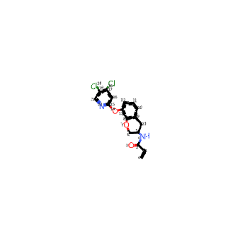 C=CC(=O)NC1COc2c(cccc2Oc2cc(Cl)c(Cl)cn2)C1